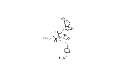 NCc1ccc(CCC(=O)CNC(Cc2c[nH]c3ccc(O)cc23)C(=O)N[C@@H](C=O)CC(=O)O)cc1